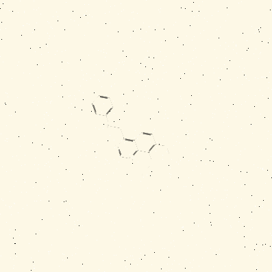 COc1ccc2c(CNc3ccccc3)ncnc2c1OC